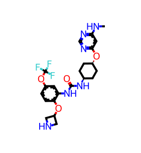 CNc1cc(O[C@H]2CC[C@H](NC(=O)Nc3cc(OC(F)(F)F)ccc3OC3CNC3)CC2)ncn1